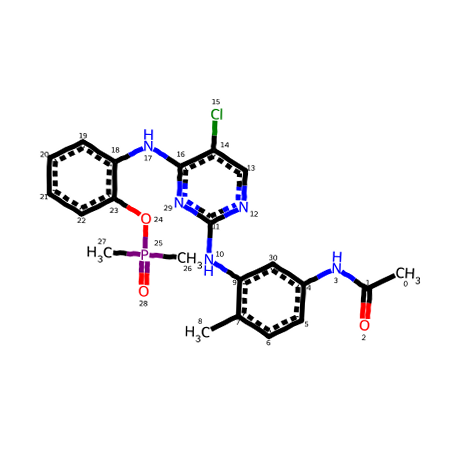 CC(=O)Nc1ccc(C)c(Nc2ncc(Cl)c(Nc3ccccc3OP(C)(C)=O)n2)c1